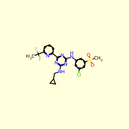 CC(F)(F)c1cccc(-c2nc(NCC3CC3)nc(Nc3cc(Cl)cc(S(C)(=O)=O)c3)n2)n1